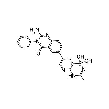 CC1=NS(O)(O)c2cc(-c3ccc4nc(N)n(-c5ccccc5)c(=O)c4c3)cnc2N1